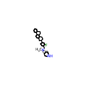 C1=CC=CNC=C1.CN(C)Cc1ccc(C2CCc3c(ccc4c3CCc3ccccc3-4)C2)cc1F